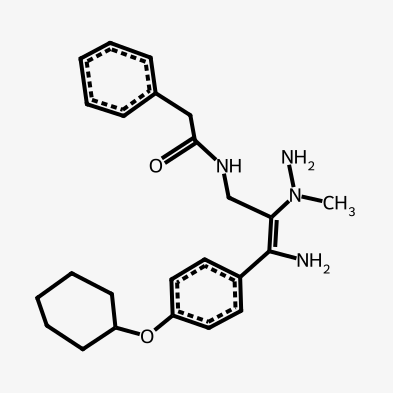 CN(N)/C(CNC(=O)Cc1ccccc1)=C(\N)c1ccc(OC2CCCCC2)cc1